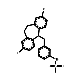 CS(=O)(=O)Nc1cccc(CC2c3ccc(F)cc3CCc3cc(F)ccc32)c1